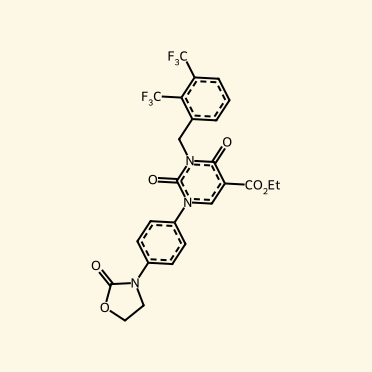 CCOC(=O)c1cn(-c2ccc(N3CCOC3=O)cc2)c(=O)n(Cc2cccc(C(F)(F)F)c2C(F)(F)F)c1=O